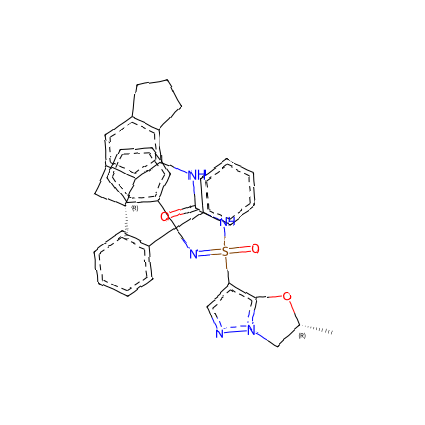 C[C@@H]1Cn2ncc(S(=O)(=NC(c3ccccc3)(c3ccccc3)c3ccccc3)NC(=O)Nc3c4c(cc5c3[C@H](C)C5)CCC4)c2O1